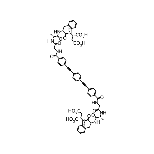 C[C@H](NC(=O)CNC(=O)c1ccc(C#Cc2ccc(C#Cc3ccc(C(=O)NCC(=O)N[C@@H](C)C(=O)N[C@@H](Cc4ccccc4)C(=O)N[C@@H](CC(=O)O)C(=O)O)cc3)cc2)cc1)C(=O)N[C@@H](Cc1ccccc1)C(=O)N[C@@H](CC(=O)O)C(=O)O